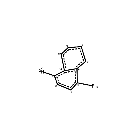 [2H]c1ccc(F)c2ccccc12